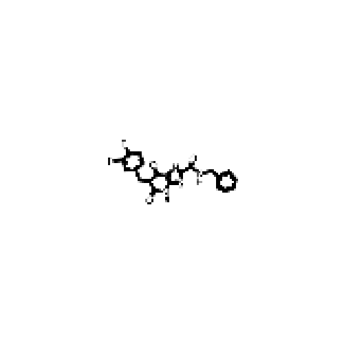 CN1C(=O)C(Cc2ccc(F)c(F)c2)C(=O)c2nc(C(=O)NCc3ccccc3)sc21